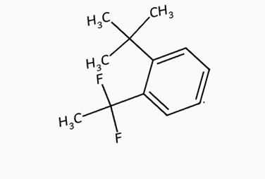 CC(C)(C)c1cc[c]cc1C(C)(F)F